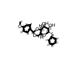 COc1ccc(C2OC[C@H]3O[C@@H](Sc4ccccc4)[C@H](O)[C@@H](O)[C@H]3O2)cc1